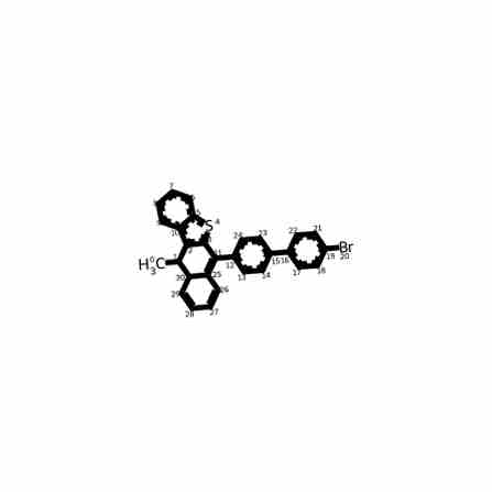 CC1c2c(sc3ccccc23)C(c2ccc(-c3ccc(Br)cc3)cc2)=C2C=CC=CC21